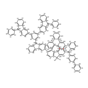 CC1(C)c2ccc(-c3ccc4c(c3)c3ccccc3n4-c3cc(-c4ccc5c(c4)c4ccccc4n5-c4ccccc4)cc(-c4ccc5c(c4)c4ccccc4n5-c4ccccc4)c3)cc2-c2ccc(N(c3ccc(-c4ccccc4)cc3)c3ccccc3-c3ccc4c5ccccc5c5ccccc5c4c3)cc21